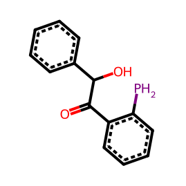 O=C(c1ccccc1P)C(O)c1ccccc1